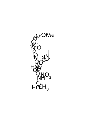 COCCOc1ccc(CN2CCN(C3CC4(CCN(c5ccc(C(=O)NS(=O)(=O)c6ccc(NC[C@H]7CC[C@](C)(O)CC7)c([N+](=O)[O-])c6)c(Oc6cnc7[nH]ccc7c6)c5)CC4)C3)C(c3ccccc3C(C)C)C2)cc1